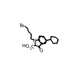 O=C(O)C1C(=O)c2cc(C3CCCCC3)ccc2N1CCCCBr